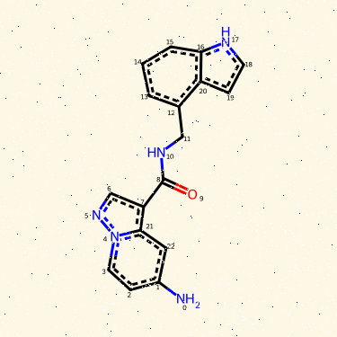 Nc1ccn2ncc(C(=O)NCc3cccc4[nH]ccc34)c2c1